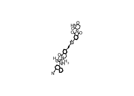 CC(C)(C(=O)Nc1ccc(C#N)c2ccccc12)N1CCc2cc(C#CC3CN(c4ccc5c(c4)C(=O)N(C4CCC(=O)NC4=O)C5=O)C3)ccc2C1=O